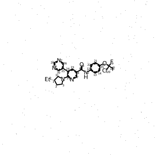 CC[C@H]1CCN(c2ncc(C(=O)Nc3ccc(OC(F)(F)Cl)cc3)cc2-c2cncnc2)C1